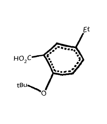 CCc1ccc(OC(C)(C)C)c(C(=O)O)c1